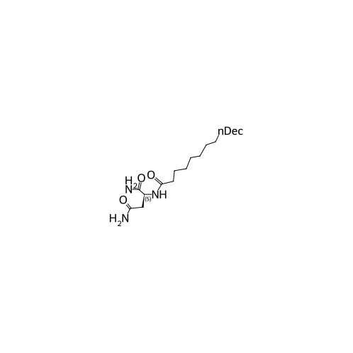 CCCCCCCCCCCCCCCCCC(=O)N[C@@H](CC(N)=O)C(N)=O